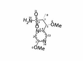 COc1cnc([C@@H](OC)[C@@H](C)S(N)(=O)=O)cn1